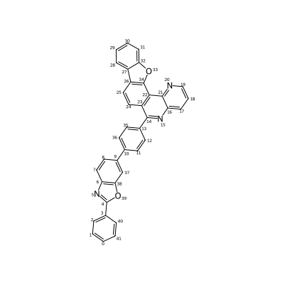 c1ccc(-c2nc3ccc(-c4ccc(-c5nc6cccnc6c6c5ccc5c7ccccc7oc56)cc4)cc3o2)cc1